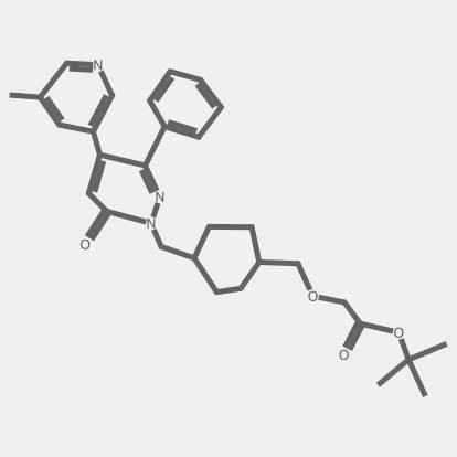 Cc1cncc(-c2cc(=O)n(CC3CCC(COCC(=O)OC(C)(C)C)CC3)nc2-c2ccccc2)c1